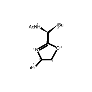 CC[C@H](C)[C@H](NC(C)=O)C1=NC(C(C)C)CO1